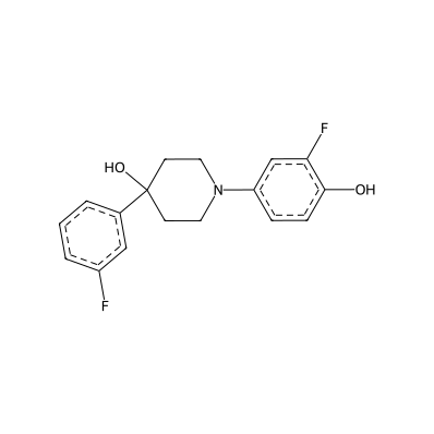 Oc1ccc(N2CCC(O)(c3cccc(F)c3)CC2)cc1F